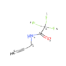 C#C[CH]NC(=O)C(F)(F)F